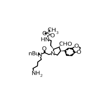 CCCCN(CCCCN)C(=O)CN1C[C@H](c2ccc3c(c2)OCO3)[C@@H](C=O)[C@@H]1CCNS(C)(=O)=O